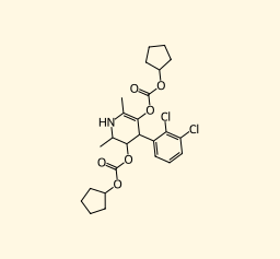 CC1=C(OC(=O)OC2CCCC2)C(c2cccc(Cl)c2Cl)C(OC(=O)OC2CCCC2)C(C)N1